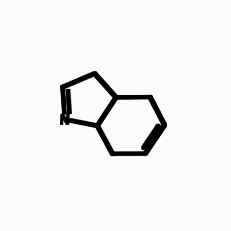 C1=CCC2N=CCC2C1